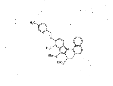 CCOC(=O)C(Cc1ccc2ccccc2n1)c1[nH]c2ccc(OCc3ccc(C)cn3)c(C)c2c1SC(C)(C)C